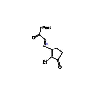 CCCCCC(=O)/C=C/C1=C(CC)C(=O)CC1